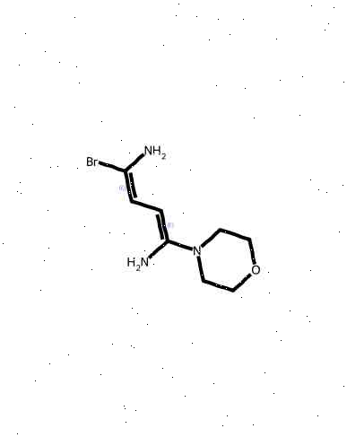 N/C(Br)=C\C=C(/N)N1CCOCC1